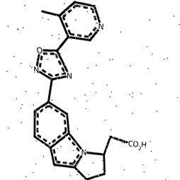 Cc1ccncc1-c1nc(-c2ccc3cc4n(c3c2)C(CC(=O)O)CC4)no1